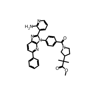 COC(=O)C(C)(C)C1CCN(C(=O)c2ccc(-n3c(-c4cccnc4N)nc4ccc(-c5ccccc5)nc43)cc2)C1